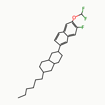 CCCCCCC1CCC2CC(c3ccc4cc(OC(F)F)c(F)cc4c3)CCC2C1